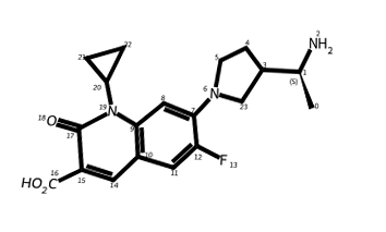 C[C@H](N)C1CCN(c2cc3c(cc2F)cc(C(=O)O)c(=O)n3C2CC2)C1